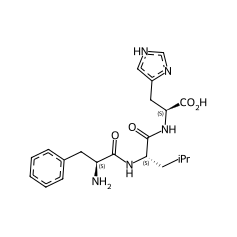 CC(C)C[C@H](NC(=O)[C@@H](N)Cc1ccccc1)C(=O)N[C@@H](Cc1c[nH]cn1)C(=O)O